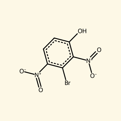 O=[N+]([O-])c1ccc(O)c([N+](=O)[O-])c1Br